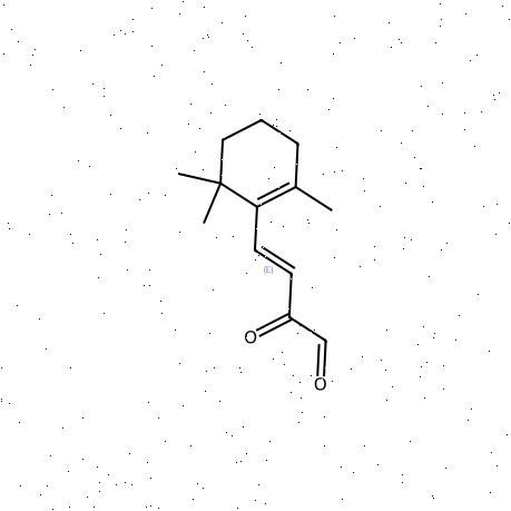 CC1=C(/C=C/C(=O)C=O)C(C)(C)CCC1